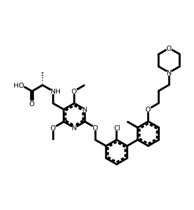 COc1nc(OCc2cccc(-c3cccc(OCCCN4CCOCC4)c3C)c2Cl)nc(OC)c1CN[C@@H](C)C(=O)O